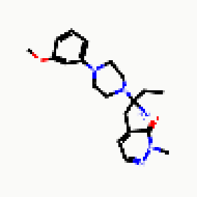 CCC(N)(Cc1ccnn(C)c1=O)N1CCN(c2cccc(OC)c2)CC1